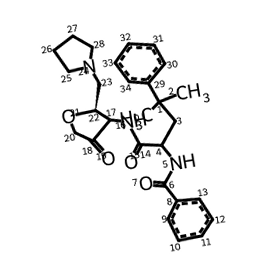 CC(C)(CC(NC(=O)c1ccccc1)C(=O)NC1C(=O)CO[C@H]1CN1CCCC1)c1ccccc1